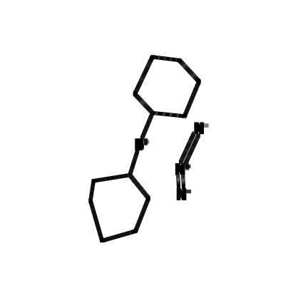 [B+](C1CCCCC1)C1CCCCC1.[N-]=[N+]=[N-]